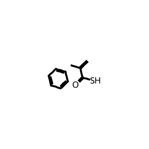 C=C(C)C(=O)S.c1ccccc1